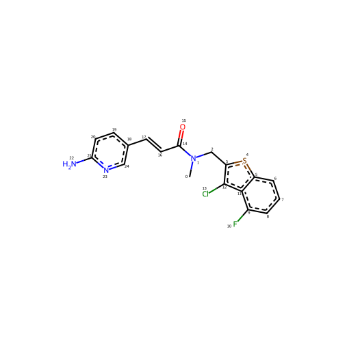 CN(Cc1sc2cccc(F)c2c1Cl)C(=O)C=Cc1ccc(N)nc1